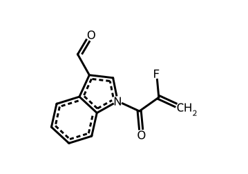 C=C(F)C(=O)n1cc(C=O)c2ccccc21